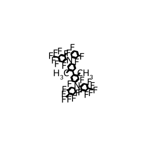 Cc1cc(N(c2c(F)c(F)cc(F)c2F)c2c(F)c(F)c(C(F)(F)F)c(F)c2F)ccc1-c1ccc(N(c2c(F)c(F)c(C(F)(F)F)c(F)c2F)C2C(F)=C(F)C(C(F)(F)F)=C(F)C2F)cc1C